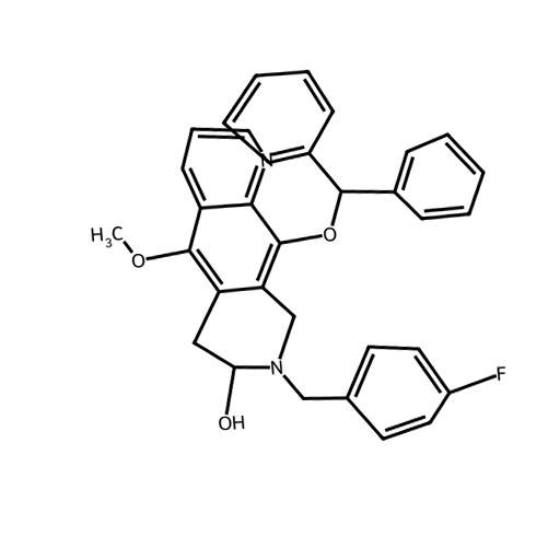 COc1c2c(c(OC(c3ccccc3)c3ccccc3)c3ncccc13)CN(Cc1ccc(F)cc1)C(O)C2